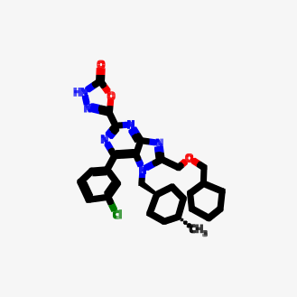 C[C@H]1CC[C@H](Cn2c(COCC3CCCCC3)nc3nc(-c4n[nH]c(=O)o4)nc(-c4cccc(Cl)c4)c32)CC1